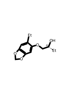 CCc1cc2c(cc1OC[C@H](O)CC)OCO2